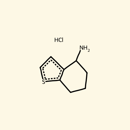 Cl.NC1CCCc2sccc21